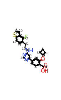 O=C(O)c1ccc(-c2cc(NCCc3ccc4sccc4c3F)ncn2)cc1OC1CCC1